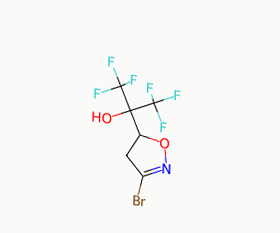 OC(C1CC(Br)=NO1)(C(F)(F)F)C(F)(F)F